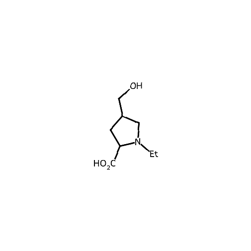 CCN1CC(CO)CC1C(=O)O